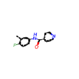 Cc1cc(NC(=O)c2ccncc2)ccc1F